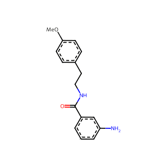 COc1ccc(CCNC(=O)c2c[c]cc(N)c2)cc1